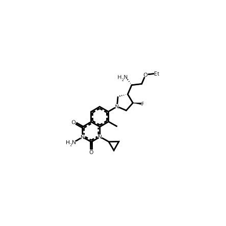 CCOC[C@@H](N)[C@H]1CN(c2ccc3c(=O)n(N)c(=O)n(C4CC4)c3c2C)C[C@@H]1F